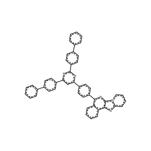 c1ccc(-c2ccc(-c3cc(-c4ccc(-c5nc6c(nc7ccccn76)c6ccccc56)cc4)nc(-c4ccc(-c5ccccc5)cc4)n3)cc2)cc1